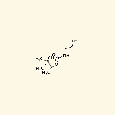 CC(OC(=O)NCCN)[Si](C)(C)C